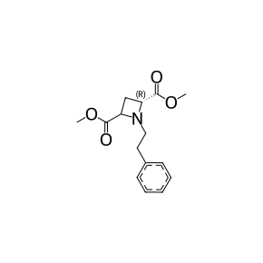 COC(=O)C1C[C@H](C(=O)OC)N1CCc1ccccc1